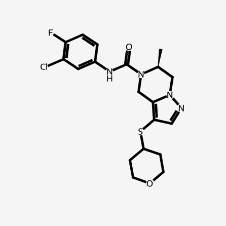 C[C@H]1Cn2ncc(SC3CCOCC3)c2CN1C(=O)Nc1ccc(F)c(Cl)c1